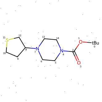 CC(C)(C)OC(=O)N1CCN(C2CCSC2)CC1